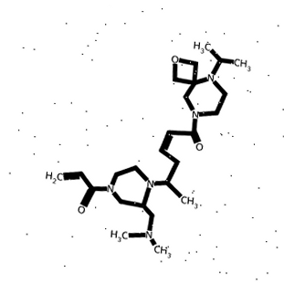 C=CC(=O)N1CCN(C(C)C/C=C\C(=O)N2CCN(C(C)C)C3(COC3)C2)C(CN(C)C)C1